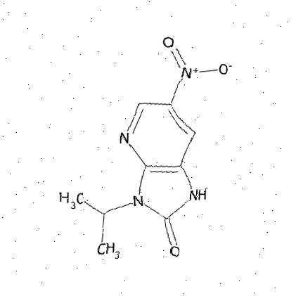 CC(C)n1c(=O)[nH]c2cc([N+](=O)[O-])cnc21